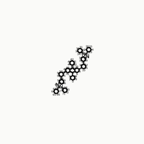 c1ccc(-c2c3ccc(-c4cccc(-c5ccc6c(c5)nc(-c5ccccc5)n6-c5ccccc5)c4)cc3c(-c3ccccc3)c3ccc(-c4cccc(-c5ccc6c(c5)nc(-c5ccccc5)n6-c5ccccc5)c4)cc23)cc1